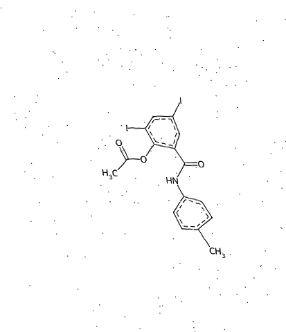 CC(=O)Oc1c(I)cc(I)cc1C(=O)Nc1ccc(C)cc1